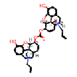 C=CCN1CC[C@]23c4c5ccc(O)c4O[C@H]2[C@@H](OC(=O)OC2C=C[C@H]4[C@H]6Cc7ccc(O)c8c7[C@@]4(CCN6CC=C)[C@H]2O8)C=C[C@H]3C1C5